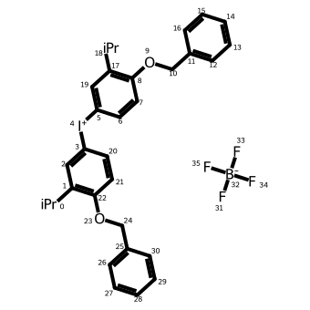 CC(C)c1cc([I+]c2ccc(OCc3ccccc3)c(C(C)C)c2)ccc1OCc1ccccc1.F[B-](F)(F)F